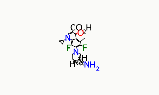 Cc1c(F)c(N2CC[C@@H]3C[C@H](N)[C@@H]3C2)c(F)c2c1c(=O)c(C(=O)O)cn2C1CC1